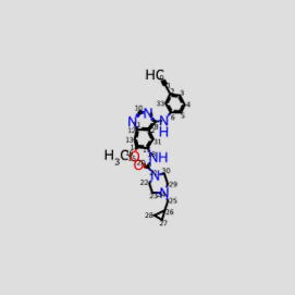 C#Cc1cccc(Nc2ncnc3cc(OC)c(NC(=O)N4CCN(CC5CC5)CC4)cc23)c1